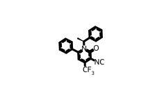 [C-]#[N+]c1c(C(F)(F)F)cc(-c2ccccc2)n([C@@H](C)c2ccccc2)c1=O